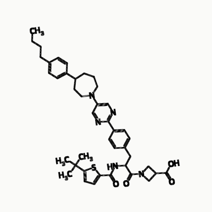 CCCCc1ccc(C2CCCN(c3cnc(-c4ccc(CC(NC(=O)c5ccc(C(C)(C)C)s5)C(=O)N5CC(C(=O)O)C5)cc4)nc3)CC2)cc1